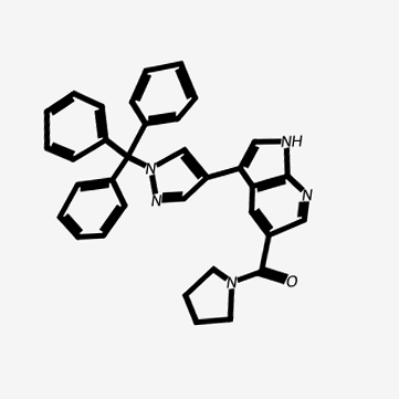 O=C(c1cnc2[nH]cc(-c3cnn(C(c4ccccc4)(c4ccccc4)c4ccccc4)c3)c2c1)N1CCCC1